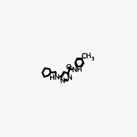 Cc1ccc(NC(=O)c2cc(NCC3CCCCC3)ncn2)cc1